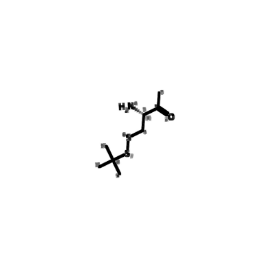 CC(=O)[C@@H](N)CSSC(C)(C)C